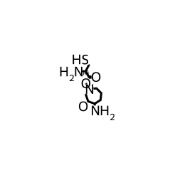 NC1CCCN(OC(=O)[C@@H](N)CS)CC1=O